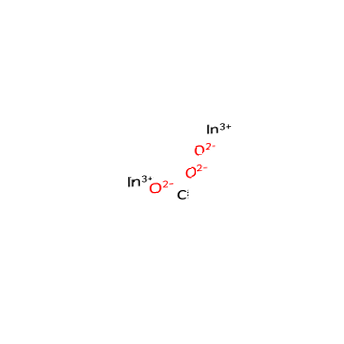 [C].[In+3].[In+3].[O-2].[O-2].[O-2]